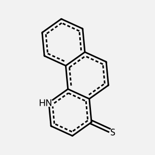 S=c1cc[nH]c2c1ccc1ccccc12